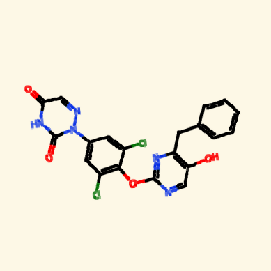 O=c1cnn(-c2cc(Cl)c(Oc3ncc(O)c(Cc4ccccc4)n3)c(Cl)c2)c(=O)[nH]1